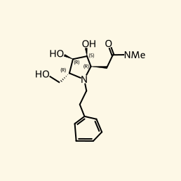 CNC(=O)C[C@@H]1[C@H](O)[C@H](O)[C@@H](CO)N1CCc1ccccc1